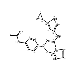 CC(=O)Nc1ccc(N2C=C(Nc3cc(C4CC4)[nH]n3)[N+]3C=CN=C3C2)cc1